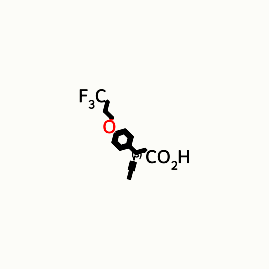 CC#C[C@@H](CC(=O)O)c1ccc(OCCCC(F)(F)F)cc1